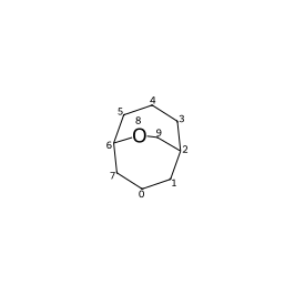 C1CC2CCCC(C1)OC2